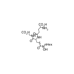 CCCCCCN(O)C(=O)SCC(NC(=O)CCC(N)C(=O)O)C(=O)NCC(=O)O